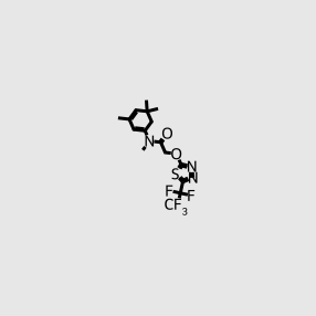 CC1=CC(C)(C)CC(N(C)C(=O)COc2nnc(C(F)(F)C(F)(F)F)s2)=C1